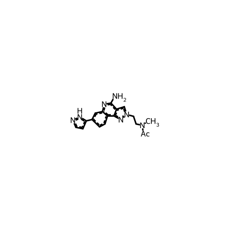 CC(=O)N(C)CCn1cc2c(N)nc3cc(-c4ccn[nH]4)ccc3c2n1